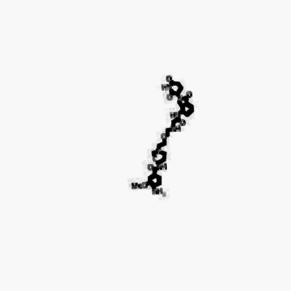 COc1cc(C(=O)NC2CCN(CCOCCNCC(=O)Nc3cccc4c3CN(C3CCC(=O)NC3=O)C4=O)CC2)ccc1N